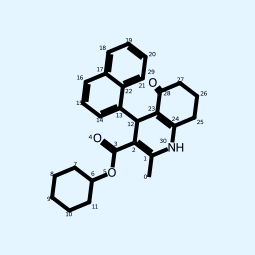 CC1=C(C(=O)OC2CCCCC2)C(c2cccc3ccccc23)C2=C(CCCC2=O)N1